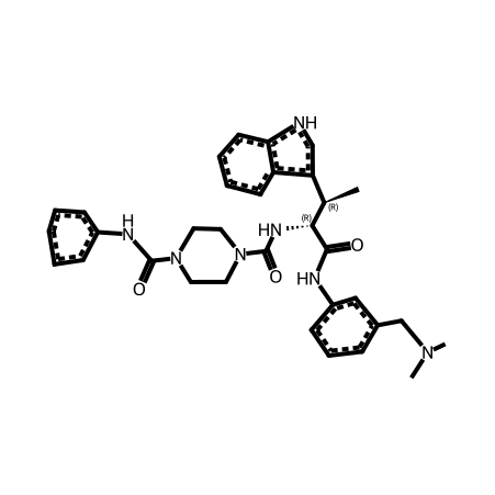 C[C@H](c1c[nH]c2ccccc12)[C@@H](NC(=O)N1CCN(C(=O)Nc2ccccc2)CC1)C(=O)Nc1cccc(CN(C)C)c1